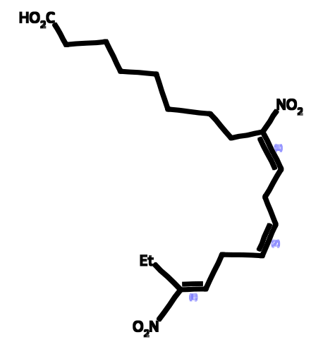 CC/C(=C\C/C=C\C/C=C(\CCCCCCCC(=O)O)[N+](=O)[O-])[N+](=O)[O-]